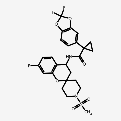 CS(=O)(=O)N1CCC2(CC1)CC(NC(=O)C1(c3ccc4c(c3)OC(F)(F)O4)CC1)c1ccc(F)cc1O2